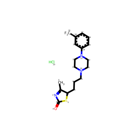 CC1=NC(=O)SC1CCCN1CCN(c2cccc(C(F)(F)F)c2)CC1.Cl